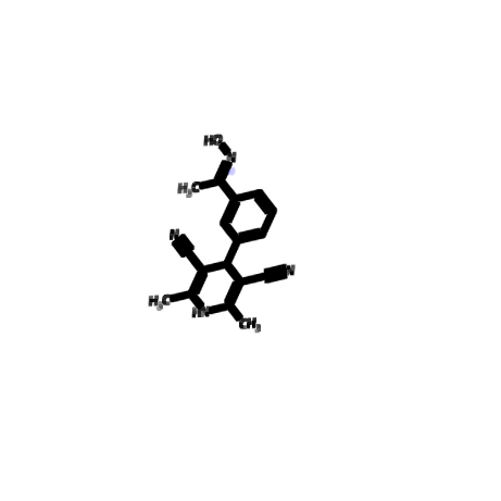 CC1=C(C#N)C(c2cccc(/C(C)=N/O)c2)C(C#N)=C(C)N1